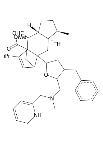 COC(=O)C12C(C(C)C)=CC3CC1(C=O)[C@@H]1CC[C@@H](C)[C@H]1CC32C1CC(Cc2ccccc2)C(CN(C)CC2=CC=CCN2)O1